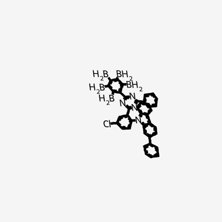 Bc1c(B)c(B)c(-c2nc(-c3ccccc3)nc(-c3cc(Cl)ccc3-n3c4ccccc4c4ccc(-c5ccccc5)cc43)n2)c(B)c1B